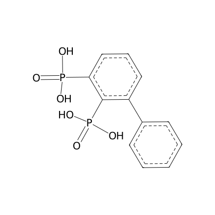 O=P(O)(O)c1cccc(-c2ccccc2)c1P(=O)(O)O